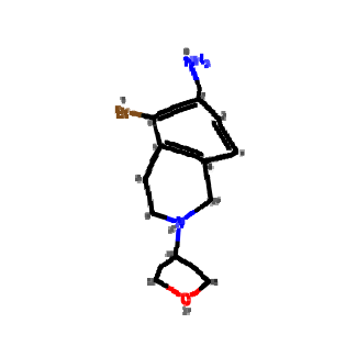 Nc1ccc2c(c1Br)CCN(C1COC1)C2